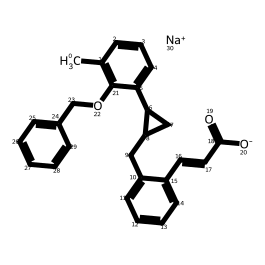 Cc1cccc(C2CC2Cc2ccccc2/C=C/C(=O)[O-])c1OCc1ccccc1.[Na+]